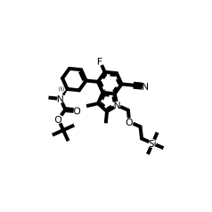 Cc1c(C)n(COCC[Si](C)(C)C)c2c(C#N)cc(F)c(C3=CCC[C@H](N(C)C(=O)OC(C)(C)C)C3)c12